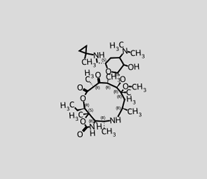 CC[C@H]1OC(=O)[C@H](C)C(=O)[C@H](C)[C@@H](O[C@@H]2O[C@H](CNC3(C)CC3)CC(N(C)C)C2O)[C@](C)(OC)C[C@@H](C)CN[C@H](C)[C@H]2NC(=O)O[C@@]21C